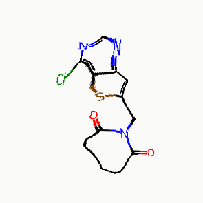 O=C1CCCC(=O)N1Cc1cc2ncnc(Cl)c2s1